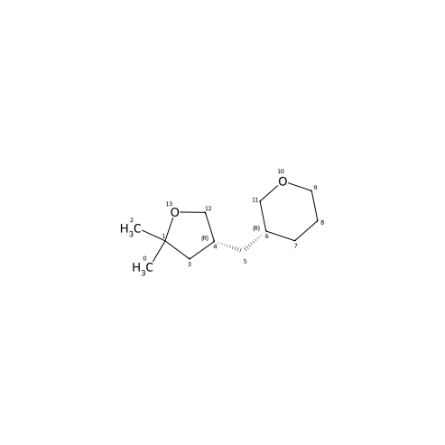 CC1(C)C[C@@H](C[C@H]2CCCOC2)CO1